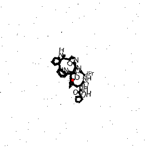 CC(C)[C@@H]1NC(=O)[C@@H](NC(=O)C2(O)CCCC2)Cc2ccc3c(c2)C24c5cccc(c5NC2O3)-c2cccc3[nH]cc(c23)-c2cnc(o2)-c2nc1oc24